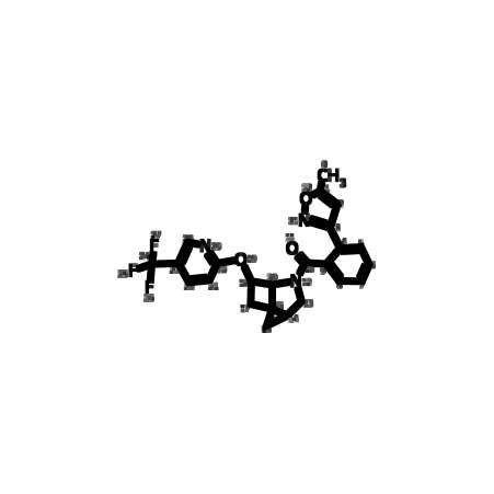 Cc1cc(-c2ccccc2C(=O)N2CC3CC34CC(Oc3ccc(C(F)(F)F)cn3)C24)no1